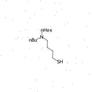 CCCCCCN(CCCC)CCCCS